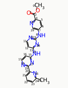 COC(=O)c1ccc(Nc2nccc(Nc3ccnc(-c4cccc(C)n4)n3)n2)cn1